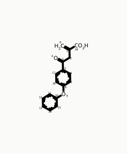 C=C(CC(=O)c1ccc(Oc2ccccc2)cc1)C(=O)O